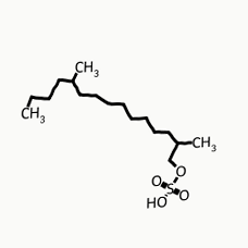 CCCCC(C)CCCCCCCCC(C)COS(=O)(=O)O